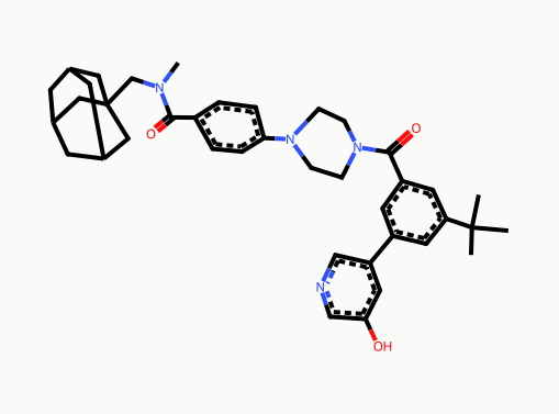 CN(CC12CC3CC(CC(C3)C1)C2)C(=O)c1ccc(N2CCN(C(=O)c3cc(-c4cncc(O)c4)cc(C(C)(C)C)c3)CC2)cc1